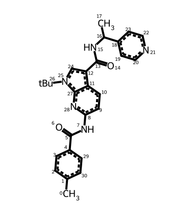 Cc1ccc(C(=O)Nc2ccc3c(C(=O)NC(C)c4ccncc4)cn(C(C)(C)C)c3n2)cc1